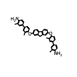 Cc1cc(-c2ccc(Oc3ccc4c(c3)Cc3cc(Oc5ccc(-c6ccc(N)c(C)c6)cc5C)ccc3-4)c(C)c2)ccc1N